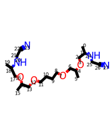 CC(COC(C)COCCCCOCC(C)OCC(C)NCC#N)NCC#N